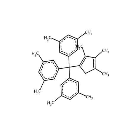 CC1=C(C)C(C)=C(C(c2cc(C)cc(C)c2)(c2cc(C)cc(C)c2)c2cc(C)cc(C)c2)C1